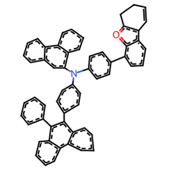 C1=Cc2c(oc3c(-c4ccc(N(c5ccc(-c6c(-c7ccccc7)c7ccccc7c7ccccc67)cc5)c5cc6ccccc6c6ccccc56)cc4)cccc23)CC1